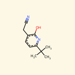 CC(C)(C)c1ccc(CC#N)c(O)n1